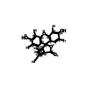 O=C1OC2(c3cc(I)c(O)c(I)c3Oc3c2cc(I)c(O)c3I)c2c(I)cc(I)cc21